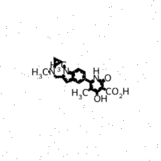 Cc1c(-c2ccc3c(c2)cc(CN(C)C2CC2)n3C)[nH]c(=O)c(C(=O)O)c1O